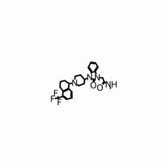 CNC(=O)Cn1c(=O)n(C2CCN(C3CCCc4c3cccc4C(F)(F)F)CC2)c2ccccc21